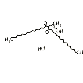 CCCCCCCCCCCCCCCC(=O)C(CN(C)CCO)C(=O)CCCCCCCCCCCCCCC.Cl